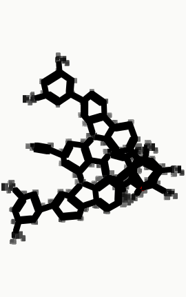 Cc1cc(C)cc(-c2ccc3c4ccc(-c5cc(C)cc(C)c5)cc4n(-c4cc(C#N)cc(-n5c6cc(-c7cc(C)cc(C)c7)ccc6c6ccc(-c7cc(C)cc(C)c7)cc65)c4-c4nc(C)cc(C)n4)c3c2)c1